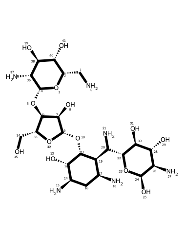 NC[C@@H]1O[C@H](O[C@H]2[C@@H](O)[C@H](O[C@H]3[C@@H](O)[C@H](N)C[C@H](N)[C@@H]3C(N)[C@H]3O[C@H](O)[C@H](N)[C@@H](O)[C@@H]3O)O[C@@H]2CO)[C@H](N)[C@@H](O)[C@@H]1O